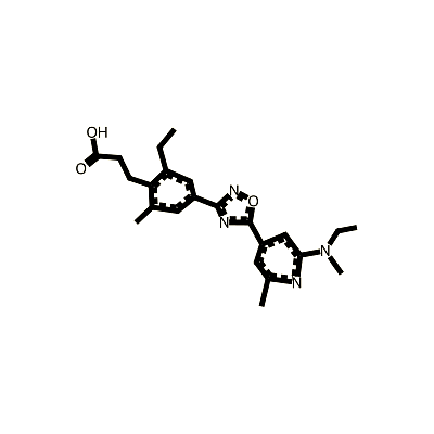 CCc1cc(-c2noc(-c3cc(C)nc(N(C)CC)c3)n2)cc(C)c1CCC(=O)O